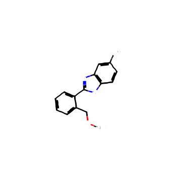 COc1ccc2[nH]c(-c3ccccc3CONC(C)=O)nc2c1